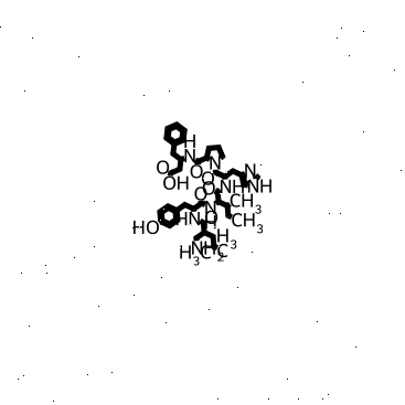 CCC(C)C(NC(=O)C(Cc1ccc(O)cc1)NC(=O)C(CN)CC(C)C)C(=O)NC(Cc1c[nH]cn1)C(=O)N1CCCC1C(=O)NC(CC(=O)O)Cc1ccccc1